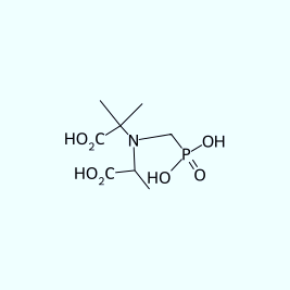 CC(C(=O)O)N(CP(=O)(O)O)C(C)(C)C(=O)O